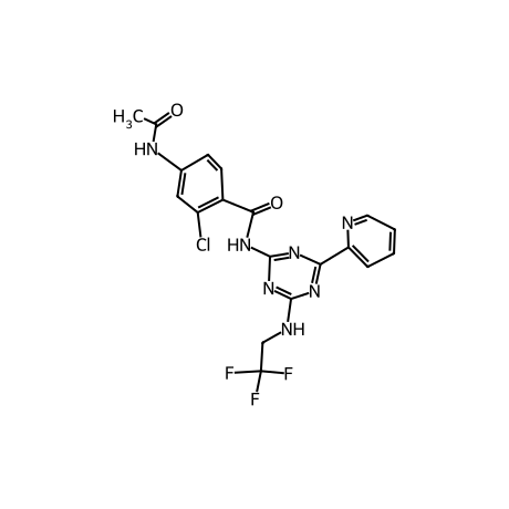 CC(=O)Nc1ccc(C(=O)Nc2nc(NCC(F)(F)F)nc(-c3ccccn3)n2)c(Cl)c1